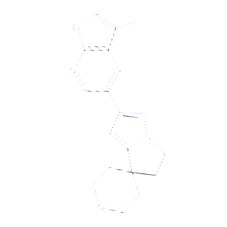 Clc1c[nH]c2ncc(-c3cc4n(n3)CCC43CCNCC3)cc12